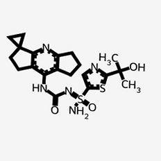 CC(C)(O)c1ncc(S(N)(=O)=NC(=O)Nc2c3c(nc4c2CCC42CC2)CCC3)s1